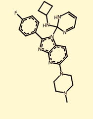 CN1CCN(c2ccc3c(n2)nc(-c2ccc(F)cc2)n3C2(NC3CCC3)N=CC=CN2)CC1